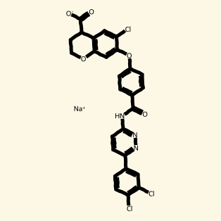 O=C(Nc1ccc(-c2ccc(Cl)c(Cl)c2)nn1)c1ccc(Oc2cc3c(cc2Cl)C(C(=O)[O-])CCO3)cc1.[Na+]